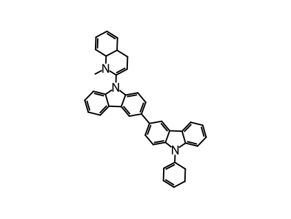 CN1C(n2c3ccccc3c3cc(-c4ccc5c(c4)c4ccccc4n5C4=CC=CCC4)ccc32)=CCC2C=CC=CC21